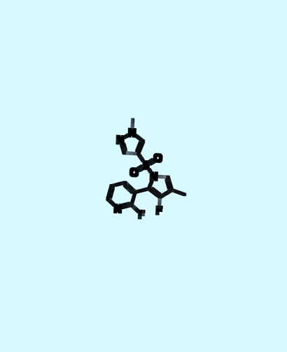 Cc1cn(S(=O)(=O)c2cnn(C)c2)c(-c2cccnc2F)c1F